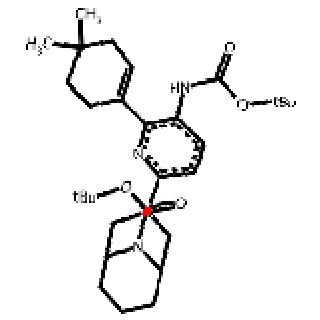 CC1(C)CC=C(c2nc(N3CC4CCCC(C3)N4C(=O)OC(C)(C)C)ccc2NC(=O)OC(C)(C)C)CC1